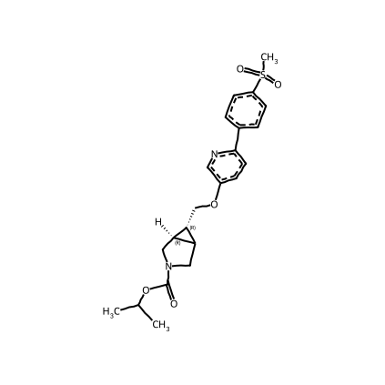 CC(C)OC(=O)N1CC2[C@@H](COc3ccc(-c4ccc(S(C)(=O)=O)cc4)nc3)[C@@H]2C1